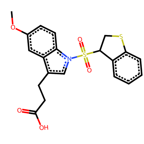 COc1ccc2c(c1)c(CCC(=O)O)cn2S(=O)(=O)C1CSc2ccccc21